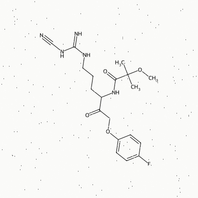 COC(C)(C)C(=O)NC(CCCNC(=N)NC#N)C(=O)COc1ccc(F)cc1